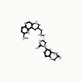 COc1ccc2ncc3c(c2n1)CC(CNC[C@@H]1CN(c2ccc4c(c2)NC(=O)CS4)C(=O)O1)CO3